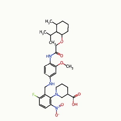 COc1cc(NCc2c(F)ccc([N+](=O)[O-])c2N2CCCC(C(=O)O)C2)ccc1NC(=O)COC1CCCC(C)C1C(C)C